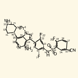 CC(C)n1nc(-c2cc(F)c(NS(=O)(=O)c3cc(C#N)ccc3F)cc2F)c2c(N)ncc([C@H]3CC[C@H](N)CC3)c21